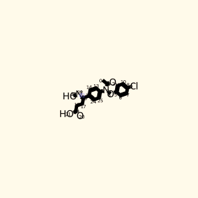 CC(=O)N(Oc1ccc(Cl)cc1)c1ccc(/C(CCC(=O)O)=N/O)cc1